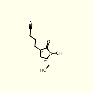 CN1C(=O)[C@H](CCCC#N)C[C@H]1CO